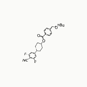 CCCCOCc1ccc(C(=O)OC2CCC(c3cc(F)c(C#N)c(F)c3)CC2)cc1